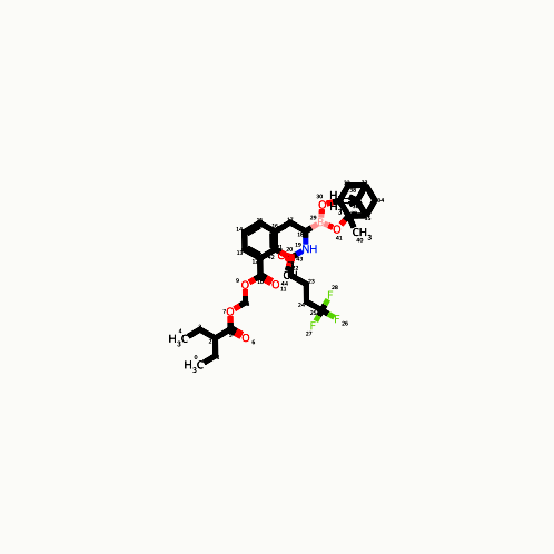 CCC(CC)C(=O)OCOC(=O)c1cccc(CC(NC(=O)CCCC(F)(F)F)B2OC3CC4CC(C4(C)C)C3(C)O2)c1OC